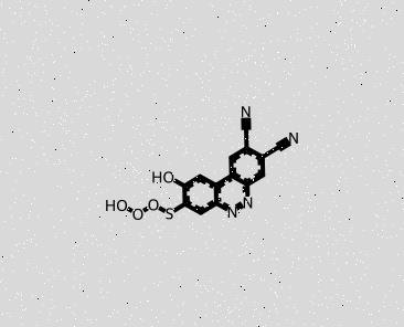 N#Cc1cc2nnc3cc(SOOO)c(O)cc3c2cc1C#N